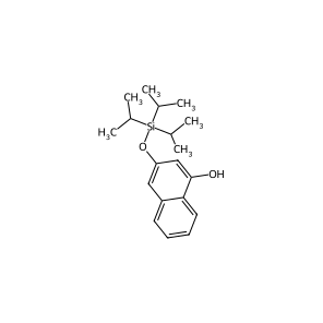 CC(C)[Si](Oc1cc(O)c2ccccc2c1)(C(C)C)C(C)C